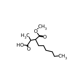 CCCCCCC(C(=O)OC)C(C)C(=O)O